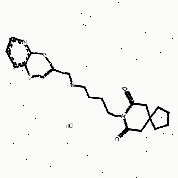 Cl.O=C1CC2(CCCC2)CC(=O)N1CCCCNCC1COc2cccnc2O1